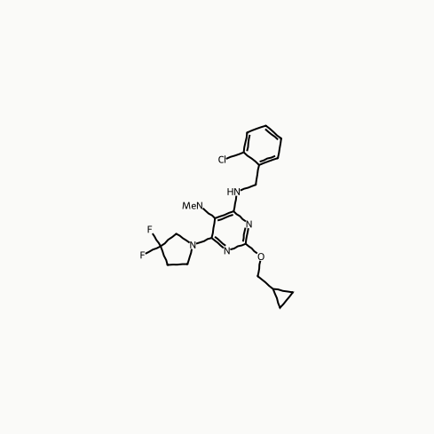 CNc1c(NCc2ccccc2Cl)nc(OCC2CC2)nc1N1CCC(F)(F)C1